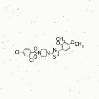 COc1ccc(-c2csc(N3CCN(S(=O)(=O)c4ccc(Cl)cc4Cl)CC3)n2)c(OC)c1